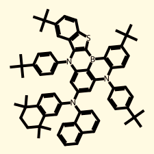 CC(C)(C)c1ccc(N2c3ccc(C(C)(C)C)cc3B3c4sc5ccc(C(C)(C)C)cc5c4N(c4ccc(C(C)(C)C)cc4)c4cc(N(c5ccc6c(c5)C(C)(C)CCC6(C)C)c5cccc6ccccc56)cc2c43)cc1